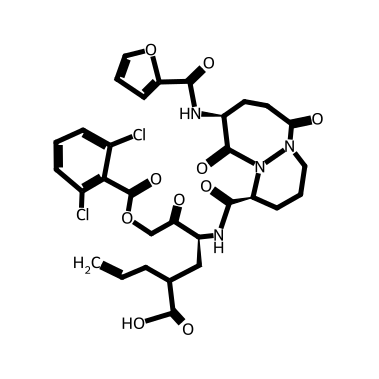 C=CCC(C[C@H](NC(=O)[C@@H]1CCCN2C(=O)CC[C@H](NC(=O)c3ccco3)C(=O)N12)C(=O)COC(=O)c1c(Cl)cccc1Cl)C(=O)O